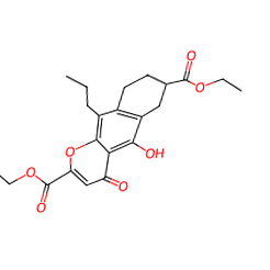 CCCc1c2c(c(O)c3c(=O)cc(C(=O)OCC)oc13)CC(C(=O)OCC)CC2